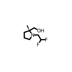 C[C@]1(CO)CCCN1CC(F)F